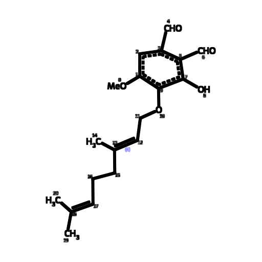 COc1cc(C=O)c(C=O)c(O)c1OC/C=C(\C)CCC=C(C)C